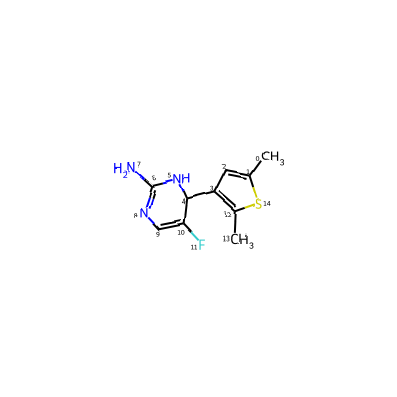 Cc1cc(C2NC(N)=NC=C2F)c(C)s1